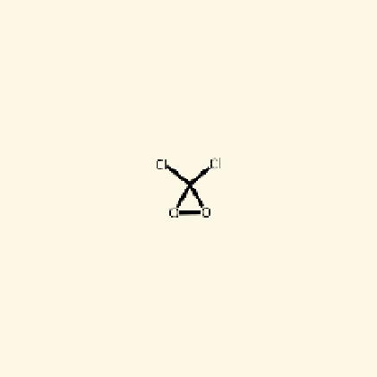 ClC1(Cl)OO1